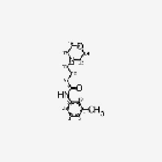 Cc1cccc(NC(=O)CCCN2CCOCC2)c1